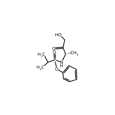 CC(C)P(=O)(N[C@@H](C)C(=O)CO)Oc1ccccc1